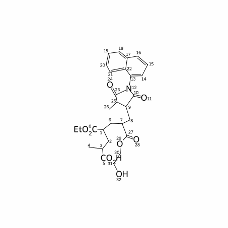 CCOC(=O)C(CC(C)C(=O)O)CC(CC1C(=O)N(c2cccc3ccccc23)C(=O)C1C)C(=O)OCCO